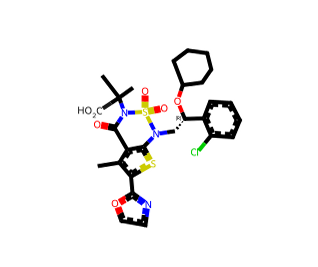 Cc1c(-c2ncco2)sc2c1C(=O)N(C(C)(C)C(=O)O)S(=O)(=O)N2C[C@H](OC1CCCCC1)c1ccccc1Cl